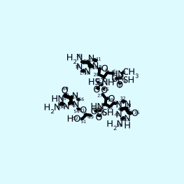 CNP(=O)(S)OCC1OC(n2cnc3c(N)ncnc32)CC1NP(=O)(S)OCC1OC(n2cnc3c(=O)[nH]c(N)nc32)CC1NP(=O)(S)OCC(CO)OCn1cnc2c(=O)[nH]c(N)nc21